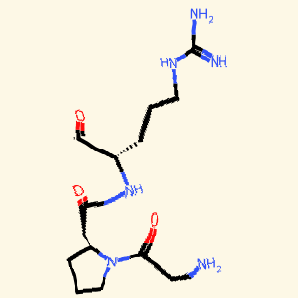 N=C(N)NCCC[C@@H]([C]=O)NC(=O)[C@@H]1CCCN1C(=O)CN